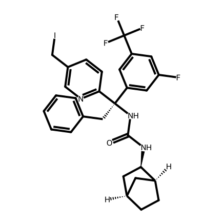 O=C(N[C@@H]1C[C@@H]2CC[C@H]1C2)N[C@](Cc1ccccc1)(c1cc(F)cc(C(F)(F)F)c1)c1ccc(CI)cn1